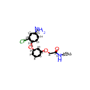 CC(C)(C)NC(=O)COc1cccc(Oc2ccc(N)cc2Cl)c1